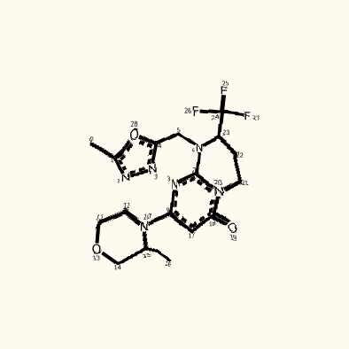 Cc1nnc(CN2c3nc(N4CCOCC4C)cc(=O)n3CCC2C(F)(F)F)o1